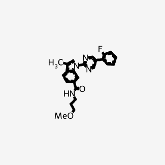 COCCCNC(=O)c1ccc2c(C)cn(-c3ncc(-c4ccccc4F)cn3)c2c1